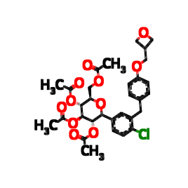 CC(=O)OC[C@H]1OC(c2ccc(Cl)c(Cc3ccc(OCC4COC4)cc3)c2)[C@H](OC(C)=O)[C@@H](OC(C)=O)[C@@H]1OC(C)=O